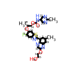 Cc1cc(-c2nc3cc(F)c(O[C@@H](C)COC(=O)Nc4cnc(C)nc4)cc3s2)c2ncc(OCCO)nc2c1